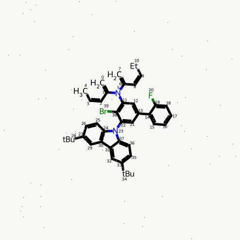 C=C(/C=C\C)N(C(=C)/C=C\CC)c1cc(-c2ccccc2F)cc(-n2c3ccc(C(C)(C)C)cc3c3cc(C(C)(C)C)ccc32)c1Br